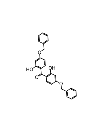 O=C(c1ccc(OCc2ccccc2)cc1O)c1ccc(OCc2ccccc2)cc1O